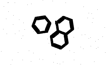 c1ccc2ncccc2c1.c1ccccc1